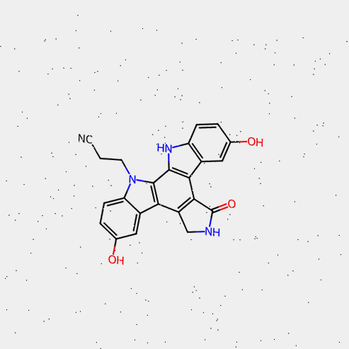 N#CCCn1c2ccc(O)cc2c2c3c(c4c5cc(O)ccc5[nH]c4c21)C(=O)NC3